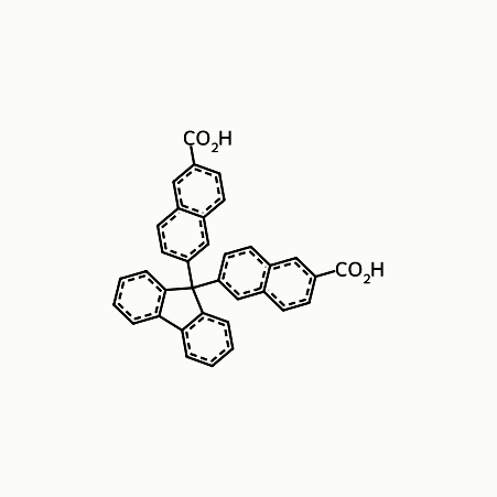 O=C(O)c1ccc2cc(C3(c4ccc5cc(C(=O)O)ccc5c4)c4ccccc4-c4ccccc43)ccc2c1